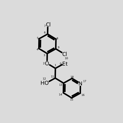 CCC(Oc1ccc(Cl)cc1Cl)C(O)c1cccnc1